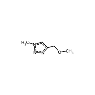 COCc1cn(C)nn1